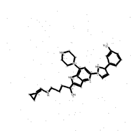 Cc1cccc(C2C=CN(c3cc(N4CCNCC4)c4c(n3)C=C(C(O)CCCNC=C3CC3)B4)N2)c1